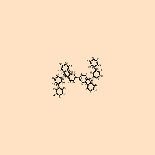 C=C(/C=C\c1c(C)c2ccccc2n1-c1cccc(-c2ccccc2)c1)c1ccc2c(c1)c1ccccc1n2-c1cccc(-c2ccccc2)c1